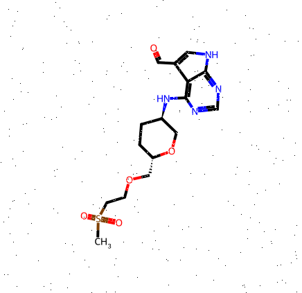 CS(=O)(=O)CCOC[C@@H]1CC[C@@H](Nc2ncnc3[nH]cc(C=O)c23)CO1